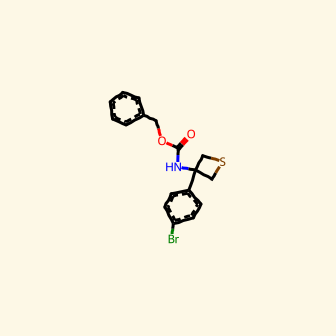 O=C(NC1(c2ccc(Br)cc2)CSC1)OCc1ccccc1